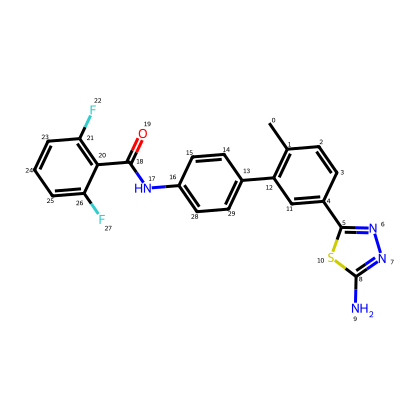 Cc1ccc(-c2nnc(N)s2)cc1-c1ccc(NC(=O)c2c(F)cccc2F)cc1